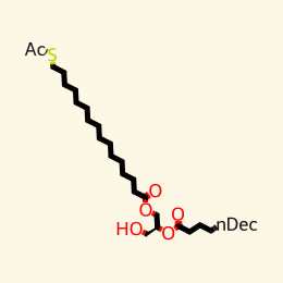 CCCCCCCCCCCCCC(=O)O[C@@H](CO)COC(=O)CCCCCCCCCCCCCCCSC(C)=O